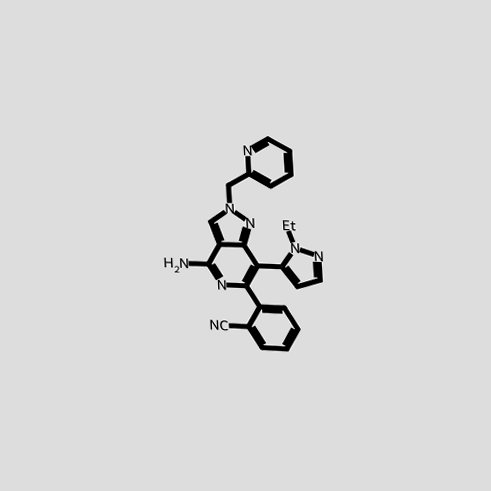 CCn1nccc1-c1c(-c2ccccc2C#N)nc(N)c2cn(Cc3ccccn3)nc12